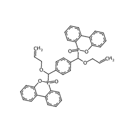 C=CCOC(c1ccc(C(OCC=C)P2(=O)Oc3ccccc3-c3ccccc32)cc1)P1(=O)Oc2ccccc2-c2ccccc21